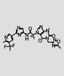 Cc1nc(Cn2c(=O)c3c(ncn3[C@@H](C)C(=O)Nc3cncc(-c4cnc(C)c(C(C)(F)F)c4)n3)n(C)c2=O)no1